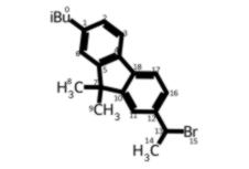 CCC(C)c1ccc2c(c1)C(C)(C)c1cc(C(C)Br)ccc1-2